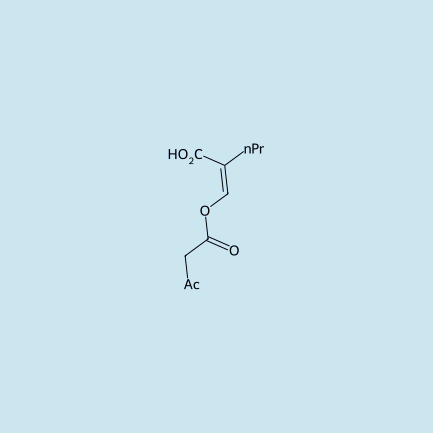 CCCC(=COC(=O)CC(C)=O)C(=O)O